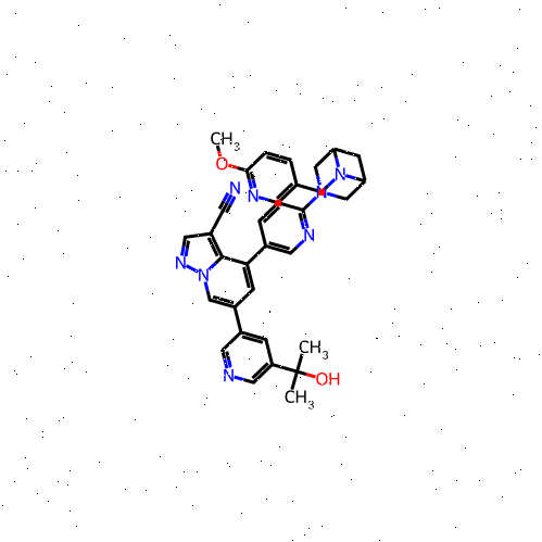 COc1ccc(CN2C3CC2CN(c2ccc(-c4cc(-c5cncc(C(C)(C)O)c5)cn5ncc(C#N)c45)cn2)C3)cn1